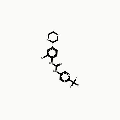 O=C(Nc1cnc(C(F)(F)F)nc1)Nc1ccc([C@H]2CNCCO2)cc1Cl